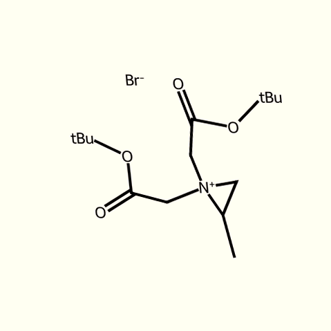 CC1C[N+]1(CC(=O)OC(C)(C)C)CC(=O)OC(C)(C)C.[Br-]